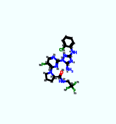 Nc1nc(Nc2ccccc2Cl)nn1-c1ncc(F)c(N2CCC[C@@H]2C(=O)NCC(F)(F)F)n1